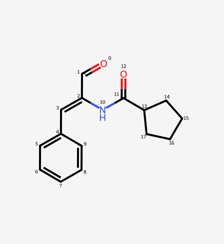 O=[C]C(=Cc1ccccc1)NC(=O)C1CCCC1